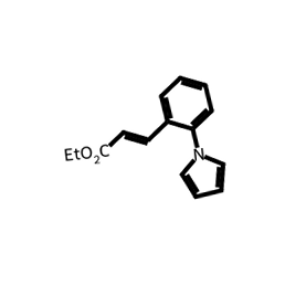 CCOC(=O)/C=C/c1ccccc1-n1cccc1